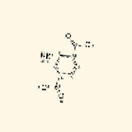 O=C([O-])c1ccc(C(=O)[O-])cc1.[K+].[K+]